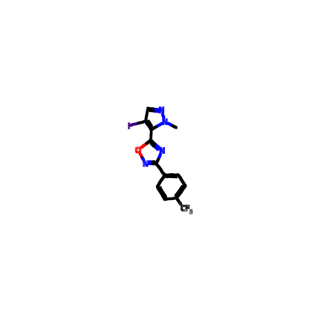 Cn1ncc(I)c1-c1nc(-c2ccc(C(F)(F)F)cc2)no1